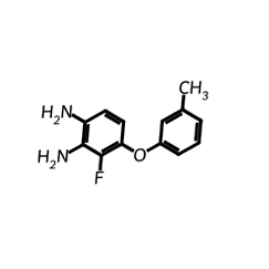 Cc1cccc(Oc2ccc(N)c(N)c2F)c1